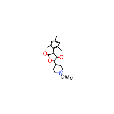 CON1CCC(C2OC(=O)C(c3c(C)cc(C)cc3C)C2=O)CC1